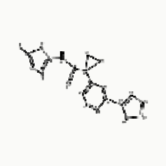 Cc1cnc(NC(=O)C2(c3cccc(-c4ccco4)c3)CC2)s1